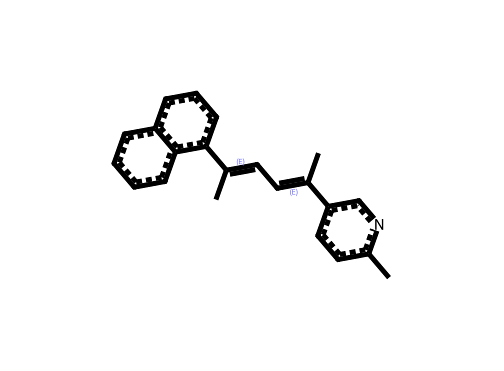 C/C(=C\C=C(/C)c1cccc2ccccc12)c1ccc(C)nc1